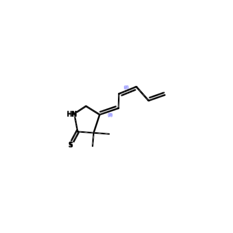 C=C/C=C\C=C1/CNC(=S)C1(C)C